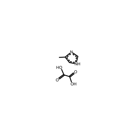 Cc1c[nH]cn1.O=C(O)C(=O)O